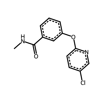 CNC(=O)c1cccc(Oc2ccc(Cl)cn2)c1